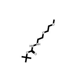 COCCOCCNNC(=O)OC(C)(C)C